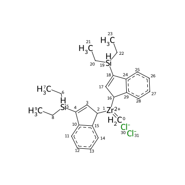 [CH2]=[Zr+2]([CH]1C=C([SiH](CC)CC)c2ccccc21)[CH]1C=C([SiH](CC)CC)c2ccccc21.[Cl-].[Cl-]